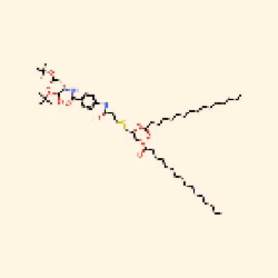 CCCCCCCCCCCCCCCC(=O)OCC(CSCCC(=O)Nc1ccc(C(=O)N[C@@H](CC(=O)OC(C)(C)C)C(=O)OC(C)(C)C)cc1)OC(=O)CCCCCCCCCCCCCCC